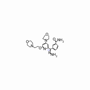 N/N=C(\c1cccc(C(N)=O)c1)c1cc(N2CCOCC2)cc(OCCN2CCOCC2)n1